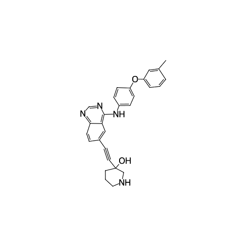 Cc1cccc(Oc2ccc(Nc3ncnc4ccc(C#CC5(O)CCCNC5)cc34)cc2)c1